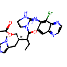 CCC(C(=O)N1CCN/C1=N/c1ccc2nccnc2c1Br)[C@H](COC(C)=O)Cc1cncn1C